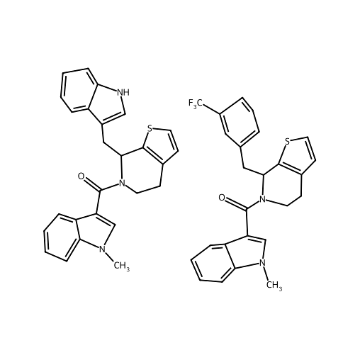 Cn1cc(C(=O)N2CCc3ccsc3C2Cc2c[nH]c3ccccc23)c2ccccc21.Cn1cc(C(=O)N2CCc3ccsc3C2Cc2cccc(C(F)(F)F)c2)c2ccccc21